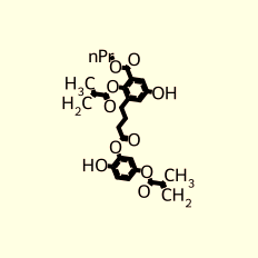 C=C(C)C(=O)Oc1ccc(O)c(OC(=O)CCCc2cc(O)cc(C(=O)OCCC)c2OC(=O)C(=C)C)c1